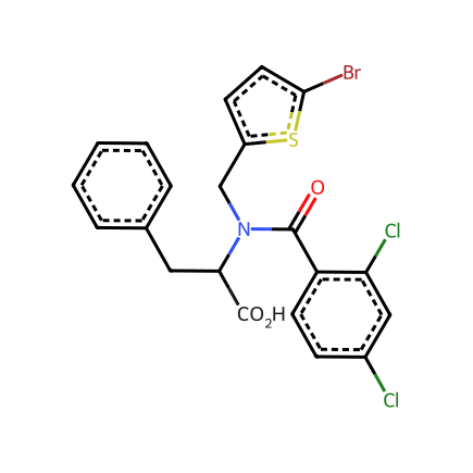 O=C(O)C(Cc1ccccc1)N(Cc1ccc(Br)s1)C(=O)c1ccc(Cl)cc1Cl